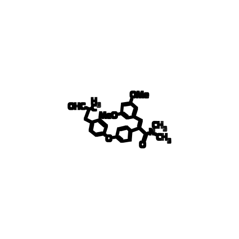 COc1cc(/C=C(/C(=O)N(C)C)c2ccc(Oc3ccc(CC(C)C=O)cc3)cc2)cc(OC)c1